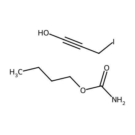 CCCCOC(N)=O.OC#CCI